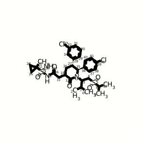 CC(C)C(CS(=O)(=O)C(C)C)N1C(=O)C(CC(=O)NS(=N)(=O)C2(C)CC2)C[C@H](c2cccc(Cl)c2)[C@H]1c1ccc(Cl)cc1